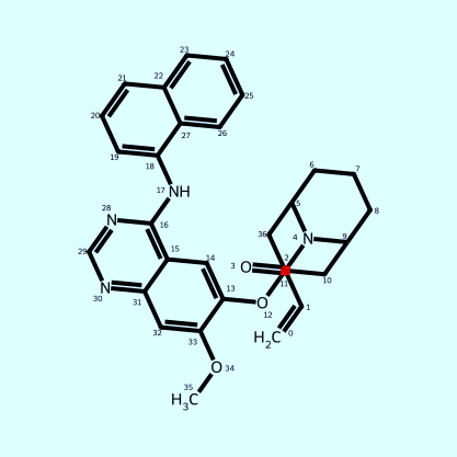 C=CC(=O)N1C2CCCC1CC(Oc1cc3c(Nc4cccc5ccccc45)ncnc3cc1OC)C2